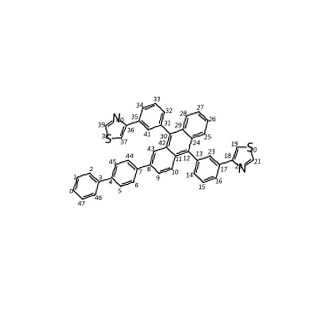 c1ccc(-c2ccc(-c3ccc4c(-c5cccc(-c6cscn6)c5)c5ccccc5c(-c5cccc(-c6cscn6)c5)c4c3)cc2)cc1